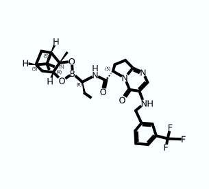 CC[C@H](NC(=O)[C@@H]1CCc2ncc(NCc3cccc(C(F)(F)F)c3)c(=O)n21)B1O[C@@H]2C[C@@H]3C[C@@H](C3(C)C)[C@]2(C)O1